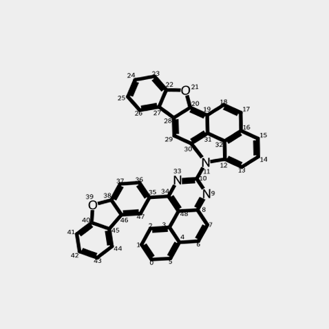 c1ccc2c(c1)ccc1nc(-n3c4cccc5ccc6c7oc8ccccc8c7cc3c6c54)nc(-c3ccc4oc5ccccc5c4c3)c12